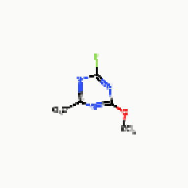 Fc1nc(OC(Cl)(Cl)Cl)nc(C(Cl)(Cl)Cl)n1